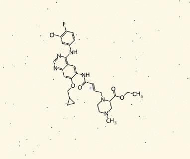 CCOC(=O)C1CN(C)CCN1C/C=C/C(=O)Nc1cc2c(Nc3ccc(F)c(Cl)c3)ncnc2cc1OCC1CC1